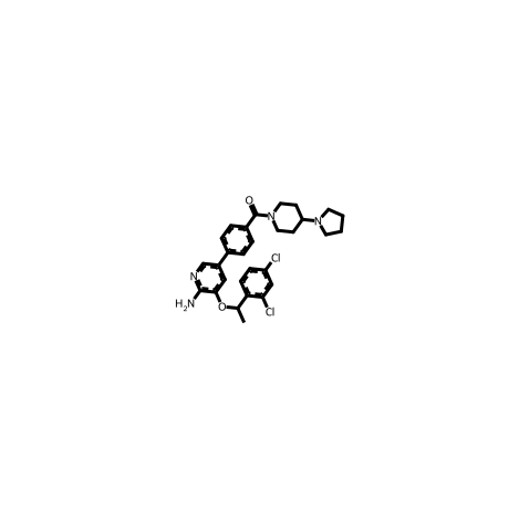 CC(Oc1cc(-c2ccc(C(=O)N3CCC(N4CCCC4)CC3)cc2)cnc1N)c1ccc(Cl)cc1Cl